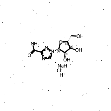 NC(=O)c1ncn([C@@H]2O[C@H](CO)[C@@H](O)[C@H]2O)n1.[Cl-].[H+].[NaH]